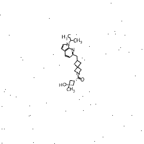 CC(C)n1ccc2ccc(CC3CC4(C3)CN(C(=O)[C@H]3C[C@@](C)(O)C3)C4)nc21